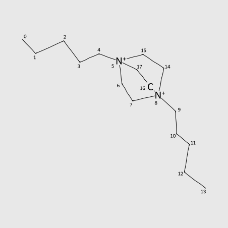 CCCCC[N+]12CC[N+](CCCCC)(CC1)CC2